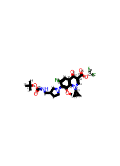 COc1c(N2CCC(CNC(=O)OC(C)(C)C)C2)c(F)cc2c(=O)c(C(=O)OB(F)F)cn(C3CC3)c12